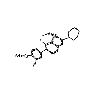 CCCCCCC.COc1ccc(-c2ccc3cc(C4CCCCC4)ccc3c2F)cc1F